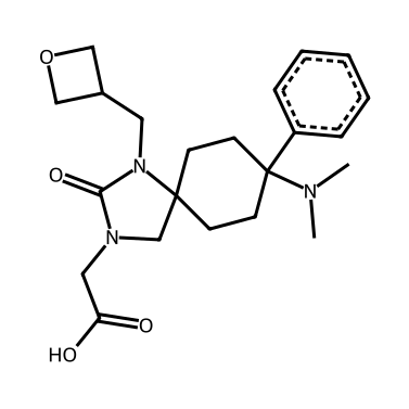 CN(C)C1(c2ccccc2)CCC2(CC1)CN(CC(=O)O)C(=O)N2CC1COC1